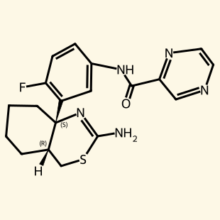 NC1=N[C@@]2(c3cc(NC(=O)c4cnccn4)ccc3F)CCCC[C@H]2CS1